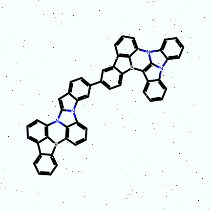 c1ccc2c(c1)B1c3c-2cccc3-n2c3c1cccc3n1c3cc(-c4ccc5c(c4)-c4cccc6c4B5c4c5ccccc5n5c7ccccc7n-6c45)ccc3cc21